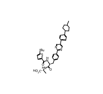 CC1CCC(c2ccc(-c3cnc(-c4ccc(C[C@H](NC(=O)c5ccc(C(C)(C)C)s5)C(=O)N[C@H](C)C(=O)O)cc4)nc3)cc2)CC1